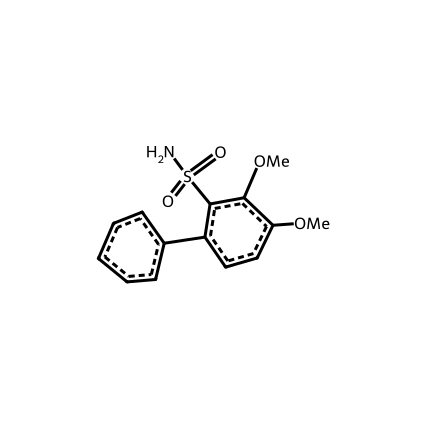 COc1ccc(-c2ccccc2)c(S(N)(=O)=O)c1OC